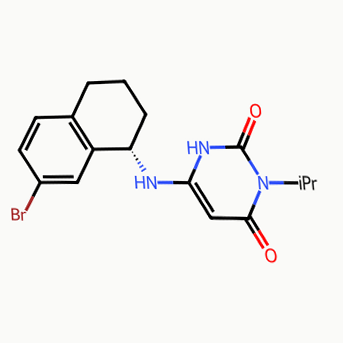 CC(C)n1c(=O)cc(N[C@H]2CCCc3ccc(Br)cc32)[nH]c1=O